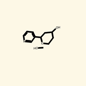 CO.OC1CCOC(c2cccnc2)C1